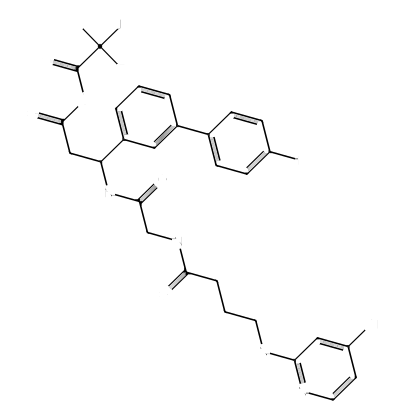 Cc1ccnc(NCCCC(=O)NCC(=O)NC(CC(=O)OC(=O)C(F)(F)F)c2cccc(-c3ccc(F)cc3)c2)c1